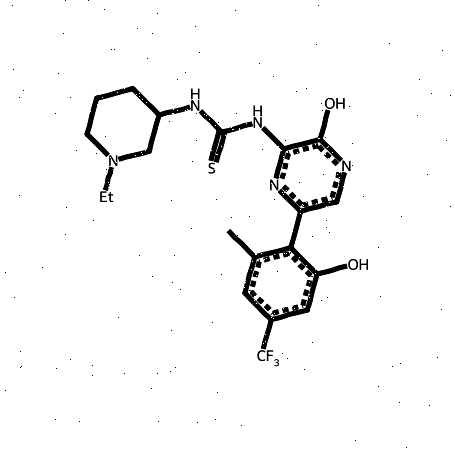 CCN1CCCC(NC(=S)Nc2nc(-c3c(C)cc(C(F)(F)F)cc3O)cnc2O)C1